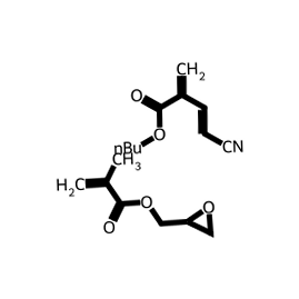 C=C(C)C(=O)OCC1CO1.C=C(C=CC#N)C(=O)OCCCC